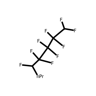 CCCC(F)C(F)(F)C(F)(F)C(F)(F)[C](F)F